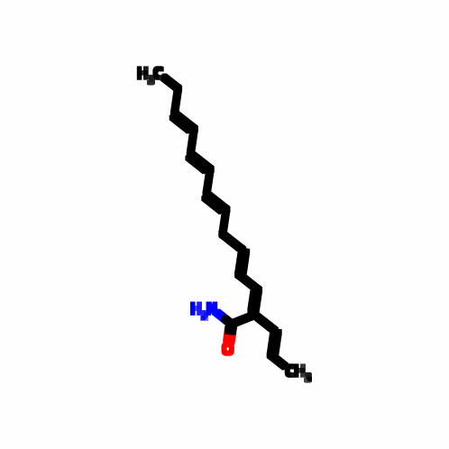 CC=CC(=CC=CCC=CC=CC=CCC)C(N)=O